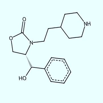 O=C1OC[C@@H](C(O)c2ccccc2)N1CCC1CCNCC1